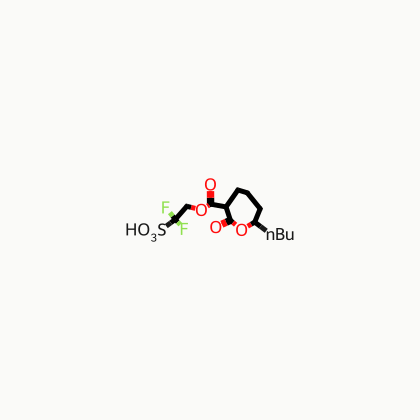 CCCCC1CCCC(C(=O)OCC(F)(F)S(=O)(=O)O)C(=O)O1